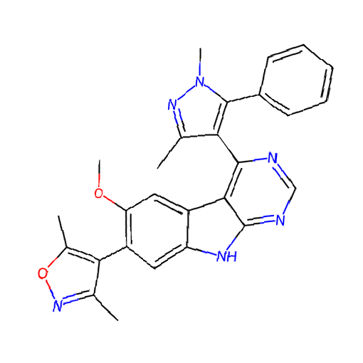 COc1cc2c(cc1-c1c(C)noc1C)[nH]c1ncnc(-c3c(C)nn(C)c3-c3ccccc3)c12